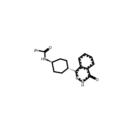 CC(C)C(=O)N[C@H]1CC[C@H](c2n[nH]c(=O)c3ccccc32)CC1